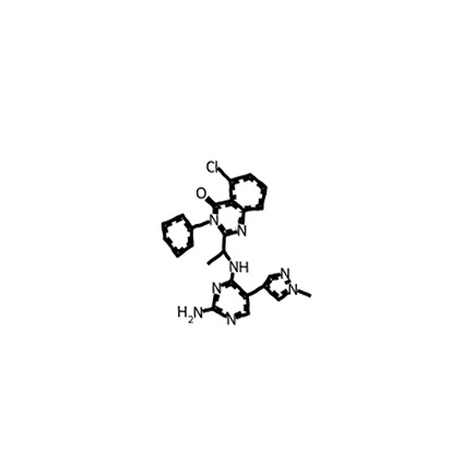 CC(Nc1nc(N)ncc1-c1cnn(C)c1)c1nc2cccc(Cl)c2c(=O)n1-c1ccccc1